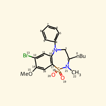 CCCCC1CN(c2ccccc2)c2cc(Br)c(OC)cc2S(=O)(=O)N1C